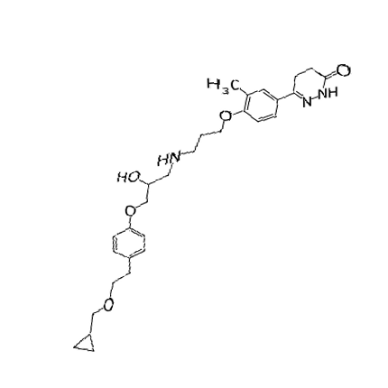 Cc1cc(C2=NNC(=O)CC2)ccc1OCCCNCC(O)COc1ccc(CCOCC2CC2)cc1